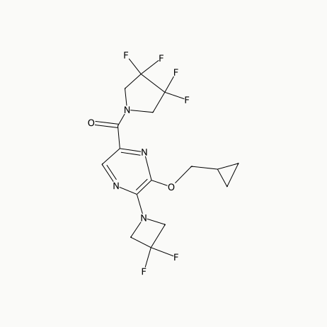 O=C(c1cnc(N2CC(F)(F)C2)c(OCC2CC2)n1)N1CC(F)(F)C(F)(F)C1